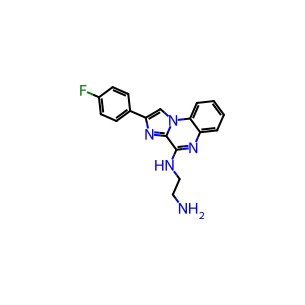 NCCNc1nc2ccccc2n2cc(-c3ccc(F)cc3)nc12